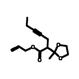 C=CCOC(=O)C(CC#CCC)C1(C)OCCO1